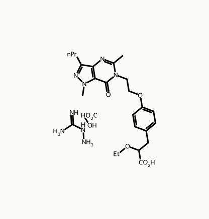 CCCc1nn(C)c2c(=O)n(CCOc3ccc(CC(OCC)C(=O)O)cc3)c(C)nc12.N=C(N)NN.O=C(O)O